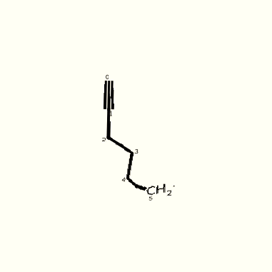 [C]#CCCC[CH2]